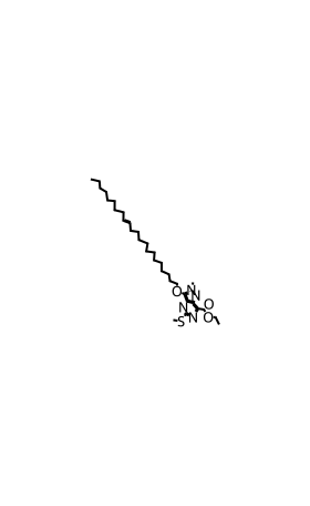 CCCCCCCCC=CCCCCCCCCCCCCOc1c2nc(SC)nc(C(=O)OCC)c2nn1C